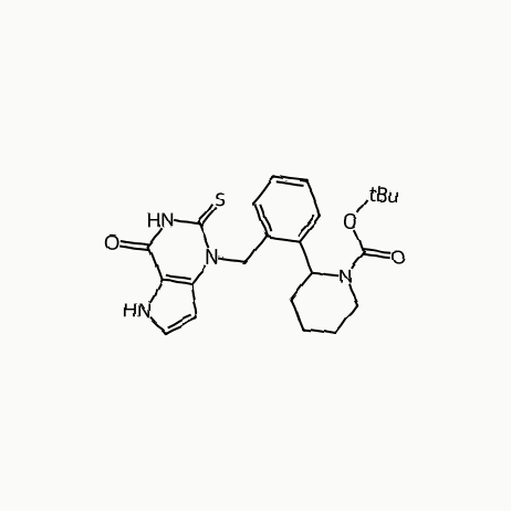 CC(C)(C)OC(=O)N1CCCCC1c1ccccc1Cn1c(=S)[nH]c(=O)c2[nH]ccc21